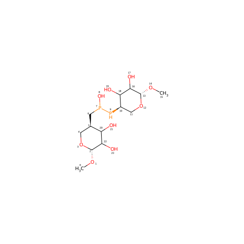 CO[C@@H]1OC[C@@H](CP(O)P[C@@H]2CO[C@@H](OC)C(O)C2O)C(O)C1O